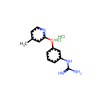 Cc1ccnc(Oc2cccc(NC(=N)N)c2)c1.Cl.Cl